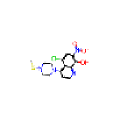 CSN1CCN(c2ccnc3c(O)c([N+](=O)[O-])cc(Cl)c23)CC1